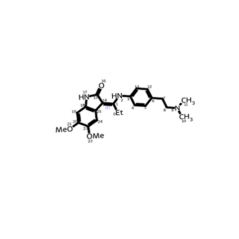 CC/C(Nc1ccc(CCN(C)C)cc1)=C1/C(=O)Nc2cc(OC)c(OC)cc21